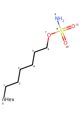 CCCCCCCCCCCCOS(N)(=O)=O